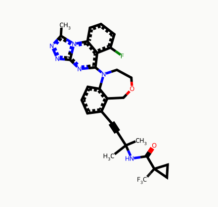 Cc1nnc2nc(N3CCOCc4c(C#CC(C)(C)NC(=O)C5(C(F)(F)F)CC5)cccc43)c3c(F)cccc3n12